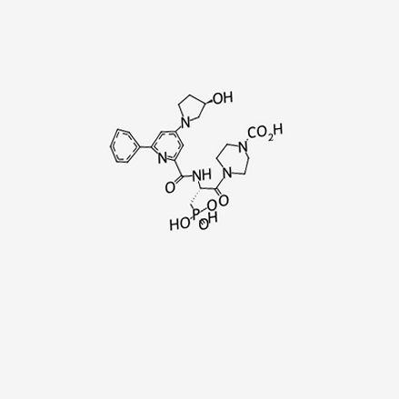 O=C(N[C@@H](CP(=O)(O)O)C(=O)N1CCN(C(=O)O)CC1)c1cc(N2CC[C@@H](O)C2)cc(-c2ccccc2)n1